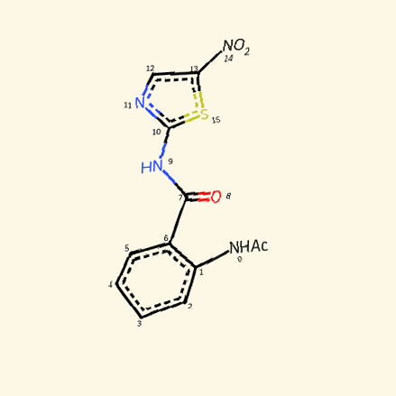 CC(=O)Nc1ccccc1C(=O)Nc1ncc([N+](=O)[O-])s1